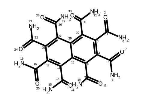 NC(=O)c1c(C(N)=O)c(C(N)=O)c2c(C(N)=O)c(C(N)=O)c(C(N)=O)c(C(N)=O)c2c1C(N)=O